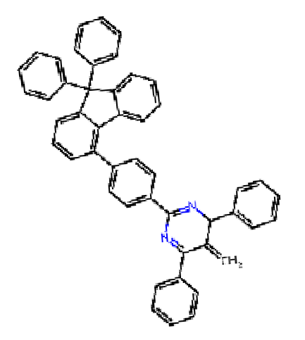 C=C1C(c2ccccc2)=NC(c2ccc(-c3cccc4c3-c3ccccc3C4(c3ccccc3)c3ccccc3)cc2)=NC1c1ccccc1